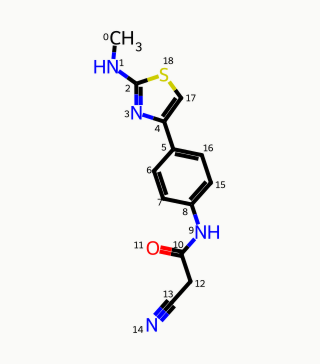 CNc1nc(-c2ccc(NC(=O)CC#N)cc2)cs1